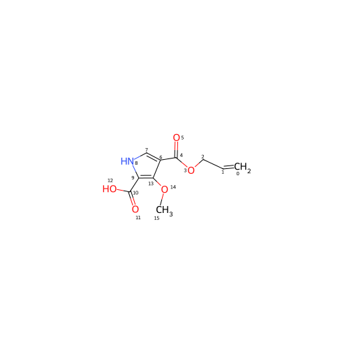 C=CCOC(=O)c1c[nH]c(C(=O)O)c1OC